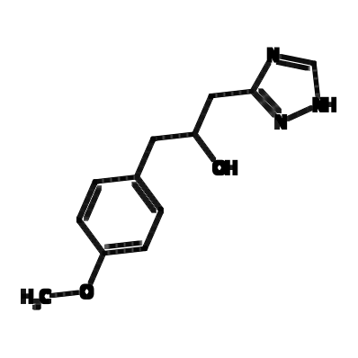 COc1ccc(CC(O)Cc2nc[nH]n2)cc1